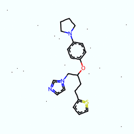 c1csc(CCC(Cn2ccnc2)Oc2ccc(N3CCCC3)cc2)c1